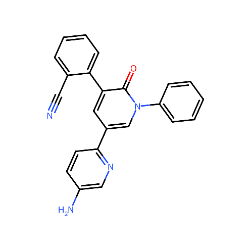 N#Cc1ccccc1-c1cc(-c2ccc(N)cn2)cn(-c2ccccc2)c1=O